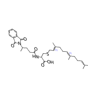 CC(C)=CCC/C(C)=C/CC/C(C)=C/CSCC(NC(=O)CCC(C)N1C(=O)c2ccccc2C1=O)C(=O)O